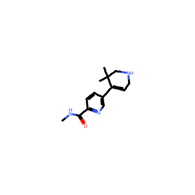 CNC(=O)c1ccc(C2=CCNCC2(C)C)cn1